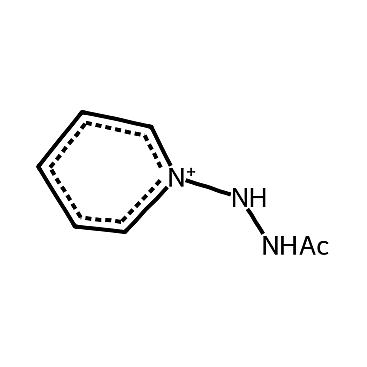 CC(=O)NN[n+]1ccccc1